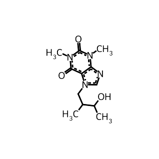 CC(O)C(C)Cn1cnc2c1c(=O)n(C)c(=O)n2C